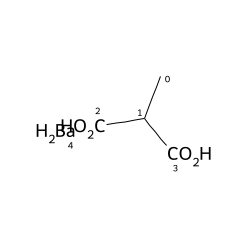 CC(C(=O)O)C(=O)O.[BaH2]